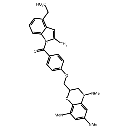 CNc1cc(NC)c2c(c1)N(NC)CC(COc1ccc(C(=O)n3c(C)cc4c(CC(=O)O)cccc43)cc1)O2